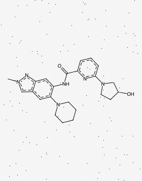 Cn1cc2cc(N3CCCCC3)c(NC(=O)c3cccc(N4CCC(O)C4)n3)cc2n1